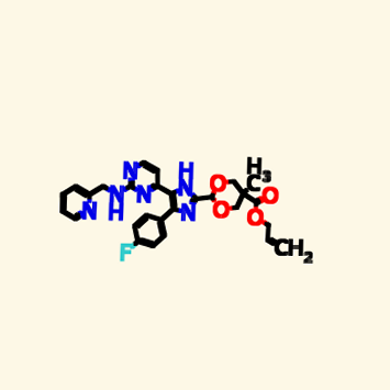 C=CCOC(=O)C1(C)COC(c2nc(-c3ccc(F)cc3)c(-c3ccnc(NCc4ccccn4)n3)[nH]2)OC1